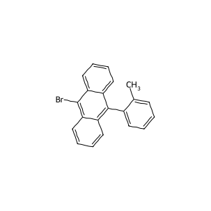 Cc1ccccc1-c1c2ccccc2c(Br)c2ccccc12